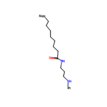 CNCCCCCCCC(=O)NCCCNC(C)C